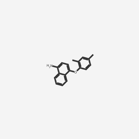 Cc1ccc(Oc2ccc(N)c3ccccc23)c(C)c1